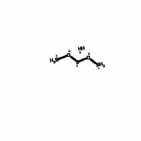 [HH].[SiH3]O[B]O[SiH3]